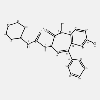 CN1C(=O)C(NC(=S)NC2CCOCC2)N=C(c2ccccc2)c2cc(Cl)ccc21